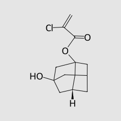 C=C(Cl)C(=O)OC12CC3C[C@@H]4CC(O)(C1)CC342